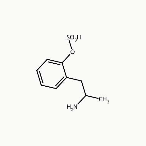 CC(N)Cc1ccccc1OS(=O)(=O)O